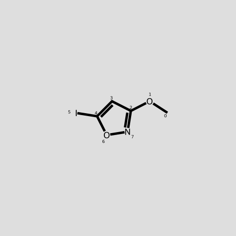 COc1cc(I)on1